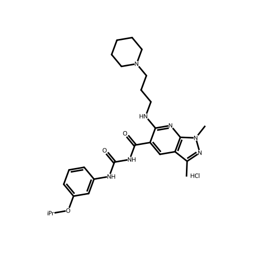 Cc1nn(C)c2nc(NCCCN3CCCCC3)c(C(=O)NC(=O)Nc3cccc(OC(C)C)c3)cc12.Cl